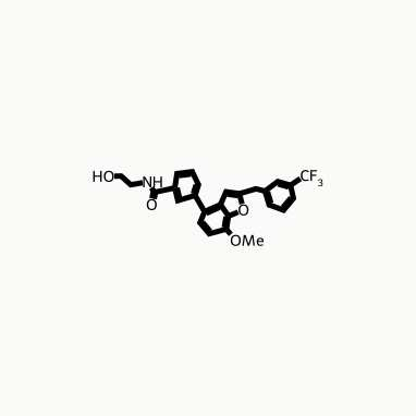 COc1ccc(-c2cccc(C(=O)NCCO)c2)c2cc(Cc3cccc(C(F)(F)F)c3)oc12